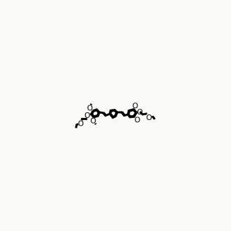 CCOCCOc1c(OC)cc(/C=C/c2ccc(/C=C/c3cc(OC)c(OCCOCC)c(OC)c3)cc2)cc1OC